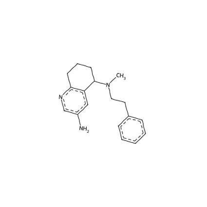 CN(CCc1ccccc1)C1CCCc2ncc(N)cc21